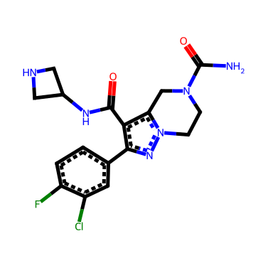 NC(=O)N1CCn2nc(-c3ccc(F)c(Cl)c3)c(C(=O)NC3CNC3)c2C1